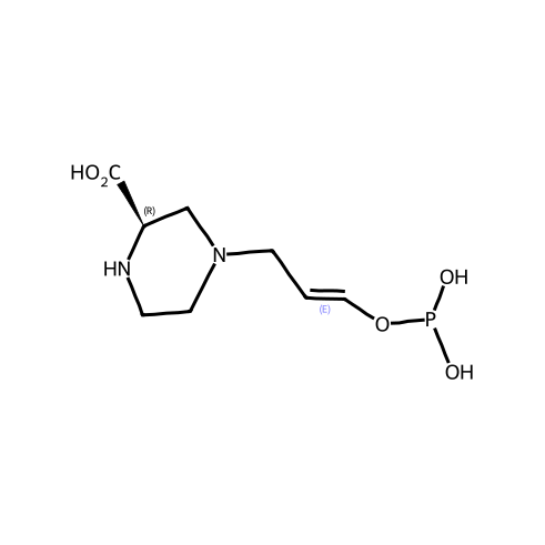 O=C(O)[C@H]1CN(C/C=C/OP(O)O)CCN1